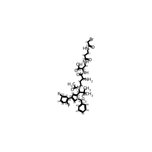 CC(=O)N(CCC(N)C(=O)NC(CNC(=O)CCNC(=O)CBr)C(=O)O)C(c1cc(-c2cc(F)ccc2F)cn1Cc1ccccc1)C(C)(C)C